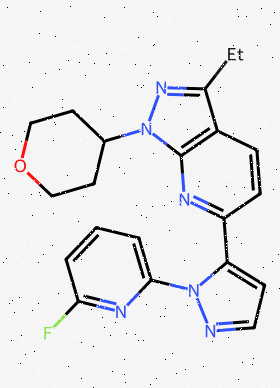 CCc1nn(C2CCOCC2)c2nc(-c3ccnn3-c3cccc(F)n3)ccc12